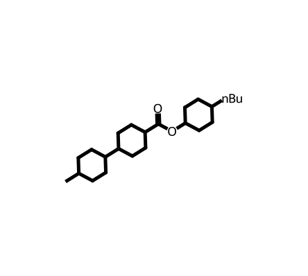 CCCCC1CCC(OC(=O)C2CCC(C3CCC(C)CC3)CC2)CC1